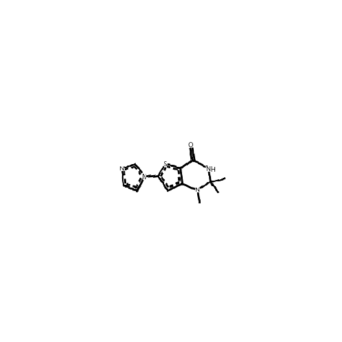 CN1c2cc(-n3ccnc3)sc2C(=O)NC1(C)C